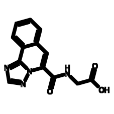 O=C(O)CNC(=O)c1cc2ccccc2c2ncnn12